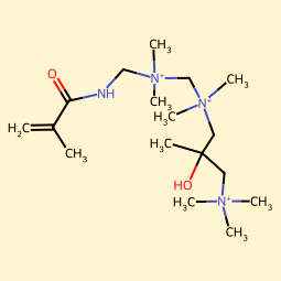 C=C(C)C(=O)NC[N+](C)(C)C[N+](C)(C)CC(C)(O)C[N+](C)(C)C